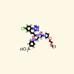 CCOCCOC1CCN(C(=O)C[C@H](CNc2ccc(C(=O)O)cc2)NC(=O)/C=C/c2cc(Cl)ccc2-n2cnnn2)C1